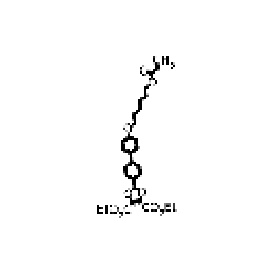 C=CC(=O)OCCCCCCOc1ccc(-c2ccc(C3O[C@@H](C(=O)OCC)[C@H](C(=O)OCC)O3)cc2)cc1